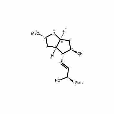 CCCCC[C@@H](O)/C=C/[C@@H]1[C@H]2C[C@H](OC)O[C@H]2C[C@H]1O